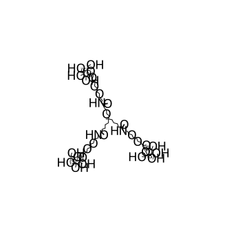 CC(CCCCC(=O)NCCOCCOCCO[C@H]1OC(CO)[C@@H](O)C(O)C1O)(CCCCC(=O)NCCOCCOCCO[C@H]1OC(CO)[C@@H](O)C(O)C1O)COCCC(=O)NCCOCCOCCO[C@H]1OC(CO)[C@@H](O)C(O)C1O